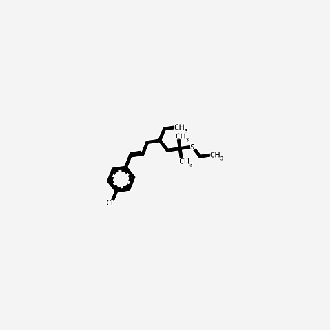 CCSC(C)(C)C[C](CC)CC=Cc1ccc(Cl)cc1